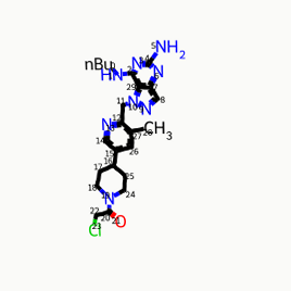 CCCCNc1nc(N)nc2cnn(Cc3ncc(C4CCN(C(=O)CCl)CC4)cc3C)c12